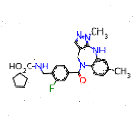 C1CCCC1.Cc1ccc2c(c1)Nc1c(cnn1C)CN2C(=O)c1ccc(CNC(=O)O)c(F)c1